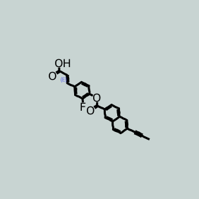 CC#Cc1ccc2cc(C(=O)Oc3ccc(/C=C/C(=O)O)cc3F)ccc2c1